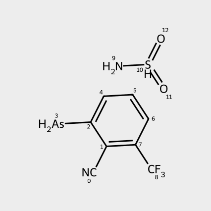 N#Cc1c([AsH2])cccc1C(F)(F)F.N[SH](=O)=O